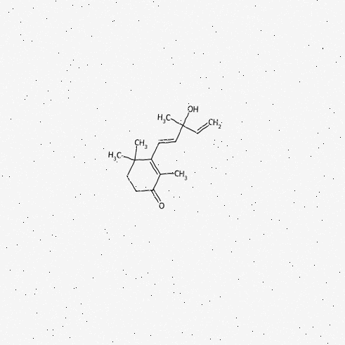 C=CC(C)(O)C=CC1=C(C)C(=O)CCC1(C)C